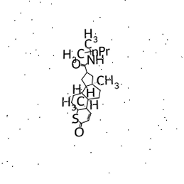 CCCC(C)(C)NC(=O)C1C[C@H]2[C@@H]3CCC4SC(=O)C=C[C@]4(C)[C@@H]3CC[C@]2(C)C1